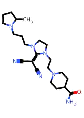 CC1CCCN1CCCN1CCN(CCN2CCC(C(N)=O)CC2)C1=C(C#N)C#N